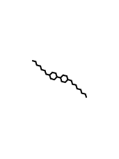 CCCCCCCCC1CCC(C2CCC(CCCCCCC)CC2)CC1